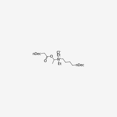 CCCCCCCCCCCCCC[N+](CC)(CC)C(C)OC(=O)CCCCCCCCCCC.[Cl-]